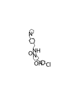 O=C(NCCc1ccc(CN2CCCC2)cc1)N1CCC(O)(c2ccc(Cl)cc2)CC1